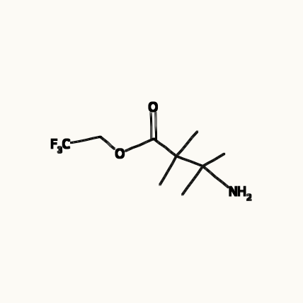 CC(C)(N)C(C)(C)C(=O)OCC(F)(F)F